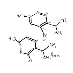 Cc1ccc(C(C)C)c([O-])c1.Cc1ccc(C(C)C)c([O-])c1.[Mn+2]